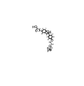 O=C(O)C=Cc1ccc(OC(F)(F)c2ccc(OCCOCC(F)(F)F)cc2)cc1